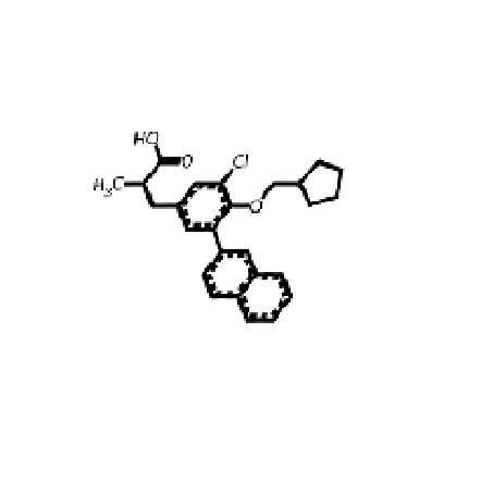 CC(Cc1cc(Cl)c(OCC2CCCC2)c(-c2ccc3ccccc3c2)c1)C(=O)O